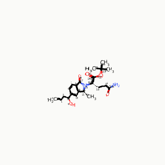 C=CCC(O)c1ccc2c(c1)[C@@H](C)N([C@@H](CCC(N)=O)C(=O)OC(C)(C)C)C2=O